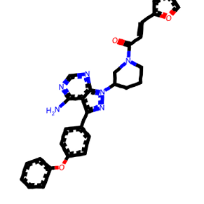 Nc1ncnc2c1c(-c1ccc(Oc3ccccc3)cc1)nn2C1CCCN(C(=O)C=Cc2ccco2)C1